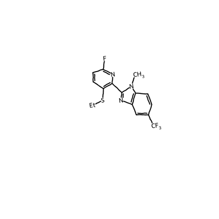 CCSc1ccc(F)nc1-c1nc2cc(C(F)(F)F)ccc2n1C